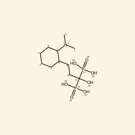 CN(C)C1CCCCC1CCC(O)(P(=O)(O)O)P(=O)(O)O